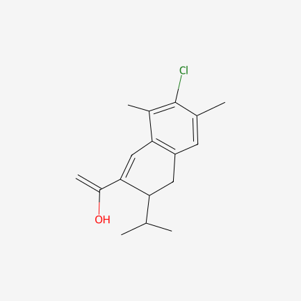 C=C(O)C1=Cc2c(cc(C)c(Cl)c2C)CC1C(C)C